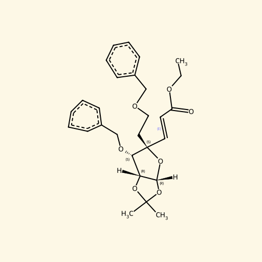 CCOC(=O)/C=C/[C@]1(CCOCc2ccccc2)O[C@@H]2OC(C)(C)O[C@@H]2[C@@H]1OCc1ccccc1